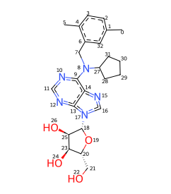 Cc1ccc(C)c(CN(c2ncnc3c2ncn3[C@@H]2O[C@H](CO)[C@@H](O)[C@H]2O)C2CCCC2)c1